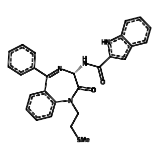 CSCCN1C(=O)[C@@H](NC(=O)c2cc3ccccc3[nH]2)N=C(c2ccccc2)c2ccccc21